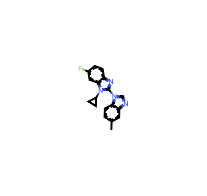 Cc1ccc2c(c1)ncn2-c1nc2ccc(F)cc2n1C1CC1